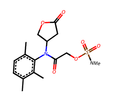 CNS(=O)(=O)OCC(=O)N(c1c(C)ccc(C)c1C)C1COC(=O)C1